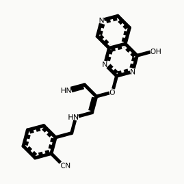 N#Cc1ccccc1CN/C=C(\C=N)Oc1nc(O)c2ccncc2n1